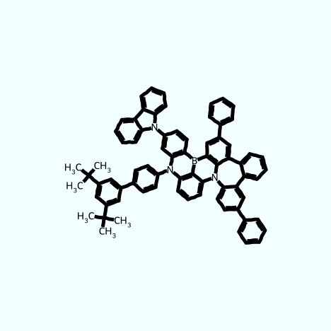 CC(C)(C)c1cc(-c2ccc(N3c4cc(-n5c6ccccc6c6ccccc65)ccc4B4c5cc(-c6ccccc6)cc6c5N(c5ccc(-c7ccccc7)cc5-c5ccccc5-6)c5cccc3c54)cc2)cc(C(C)(C)C)c1